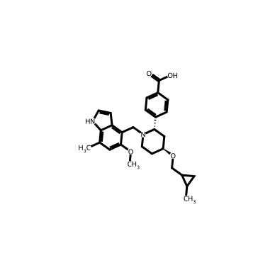 COc1cc(C)c2[nH]ccc2c1CN1CC[C@H](OCC2CC2C)C[C@H]1c1ccc(C(=O)O)cc1